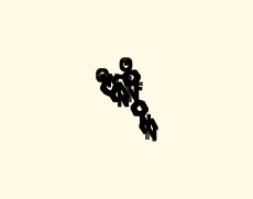 COc1ccc(F)cc1Cn1c(=O)ccc2cnc(Nc3ccc(N4CCN(C)CC4)cc3)nc21